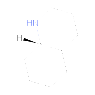 C1CC[C@@H]2NCCCC2C1